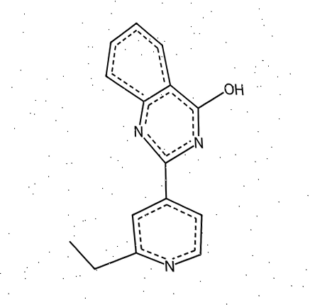 CCc1cc(-c2nc(O)c3ccccc3n2)ccn1